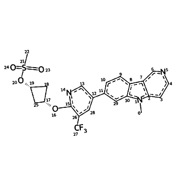 Cn1c2ccncc2c2ccc(-c3cnc(O[C@H]4C[C@@H](OS(C)(=O)=O)C4)c(C(F)(F)F)c3)cc21